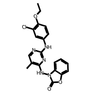 CCOc1ccc(Nc2ncc(C)c(Nn3c(=O)oc4ccccc43)n2)cc1Cl